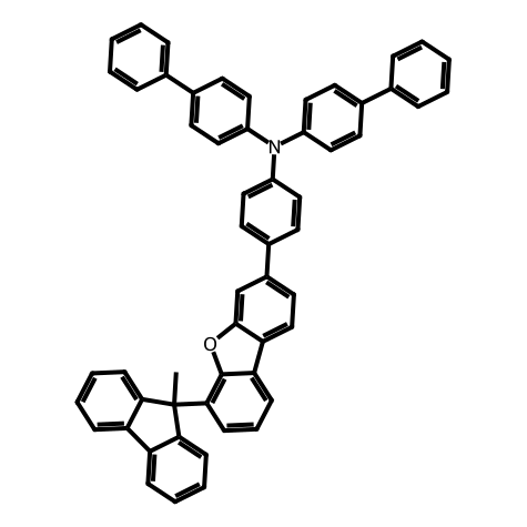 CC1(c2cccc3c2oc2cc(-c4ccc(N(c5ccc(-c6ccccc6)cc5)c5ccc(-c6ccccc6)cc5)cc4)ccc23)c2ccccc2-c2ccccc21